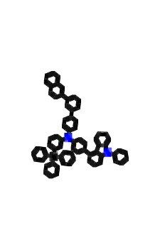 c1ccc(-n2c3ccccc3c3c(-c4ccc(N(c5ccc(-c6cccc(-c7ccc8ccccc8c7)c6)cc5)c5cccc([Si](c6ccccc6)(c6ccccc6)c6ccccc6)c5)cc4)cccc32)cc1